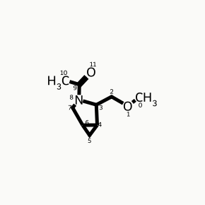 COCC1C2CC2CN1C(C)=O